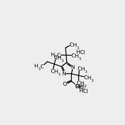 CCC(C)(C)C1=NC(C(=O)O)(C(C)(C)C)N=C1C(C)(C)CC.Cl.Cl.Cl